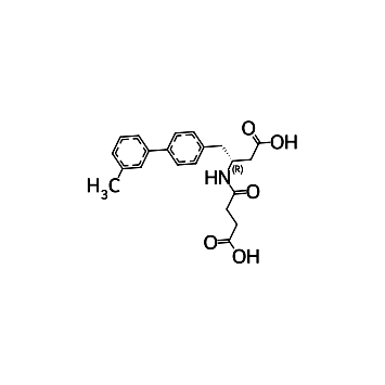 Cc1cccc(-c2ccc(C[C@H](CC(=O)O)NC(=O)CCC(=O)O)cc2)c1